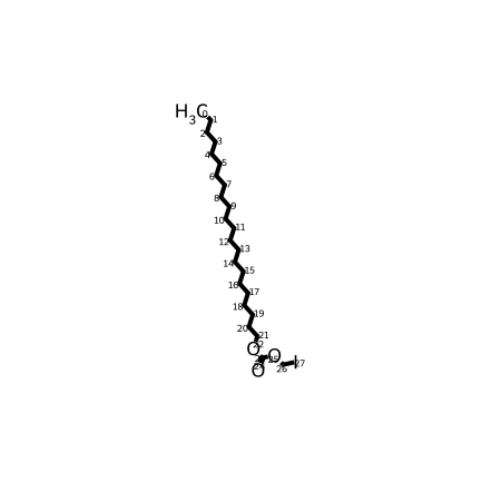 CCCCCCCCCCCCCCCCCCCCCCOC(=O)OCI